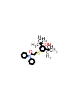 CC(C)(C)c1cc(SCCC(=O)N(C2CCCCC2)C2CCCCC2)cc(C(C)(C)C)c1O